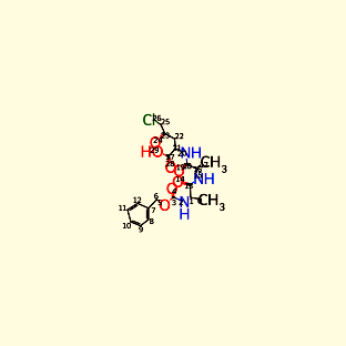 CC(NC(=O)OCc1ccccc1)C(=O)NC(C)C(=O)NC(CC(=O)CCl)C(=O)O